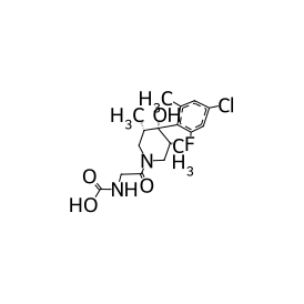 Cc1cc(Cl)cc(F)c1[C@@]1(O)[C@H](C)CN(C(=O)CNC(=O)O)C[C@@H]1C